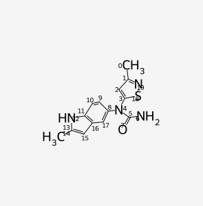 Cc1cc(N(C(N)=O)c2ccc3[nH]c(C)cc3c2)sn1